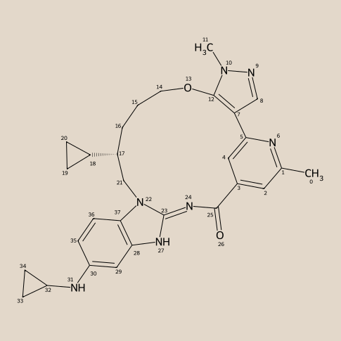 Cc1cc2cc(n1)-c1cnn(C)c1OCCC[C@@H](C1CC1)CN1/C(=N/C2=O)Nc2cc(NC3CC3)ccc21